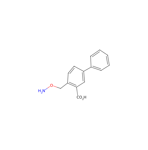 NOCc1ccc(-c2ccccc2)cc1C(=O)O